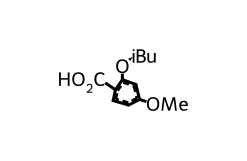 CC[C@H](C)Oc1cc(OC)ccc1C(=O)O